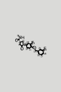 CNC(=O)[C@H]1CC(=O)N(c2ccc(OCc3cccc(F)c3)c(F)c2)C1